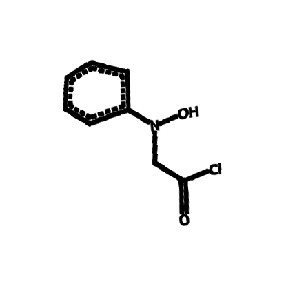 O=C(Cl)CN(O)c1ccccc1